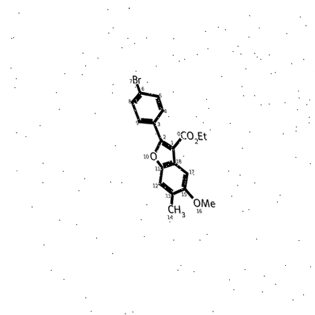 CCOC(=O)c1c(-c2ccc(Br)cc2)oc2cc(C)c(OC)cc12